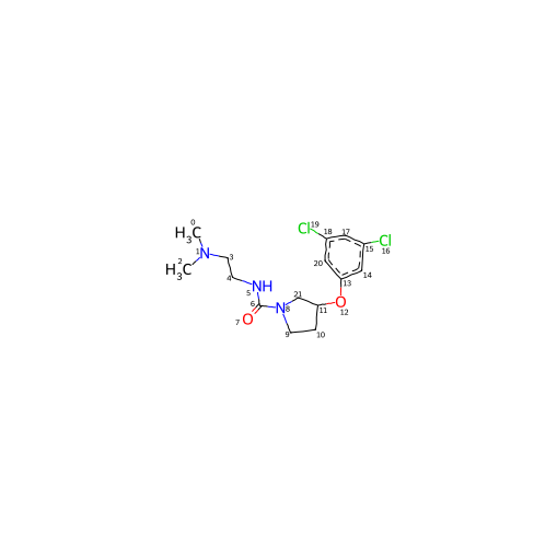 CN(C)CCNC(=O)N1CCC(Oc2cc(Cl)cc(Cl)c2)C1